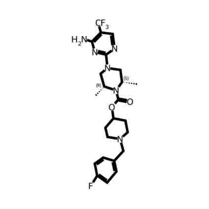 C[C@@H]1CN(c2ncc(C(F)(F)F)c(N)n2)C[C@H](C)N1C(=O)OC1CCN(Cc2ccc(F)cc2)CC1